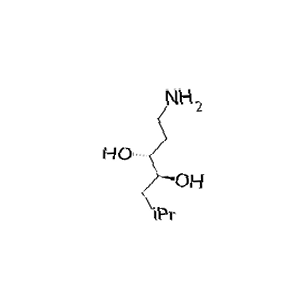 CC(C)C[C@H](O)[C@H](O)CCN